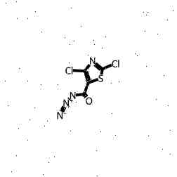 [N-]=[N+]=NC(=O)c1sc(Cl)nc1Cl